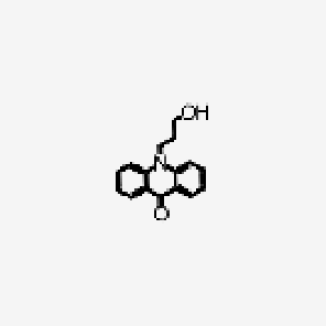 O=c1c2ccccc2n(CCCO)c2ccccc12